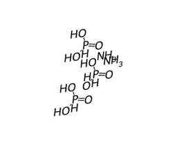 N.N.O=[PH](O)O.O=[PH](O)O.O=[PH](O)O